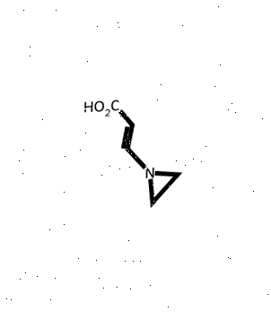 O=C(O)C=CN1CC1